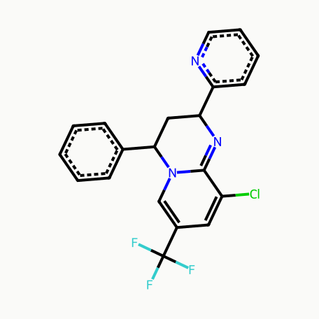 FC(F)(F)C1=CN2C(=NC(c3ccccn3)CC2c2ccccc2)C(Cl)=C1